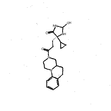 O=C(CC[C@@]1(C2CC2)NC(O)NC1=O)N1CCN2c3ccccc3CCC2C1